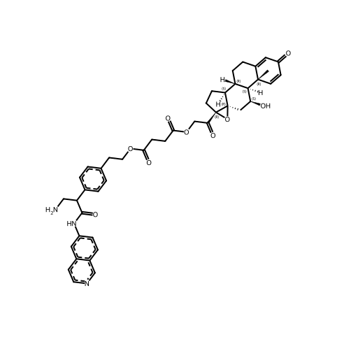 C[C@]12C=CC(=O)C=C1CC[C@@H]1[C@@H]2[C@@H](O)C[C@]23O[C@]2(C(=O)COC(=O)CCC(=O)OCCc2ccc(C(CN)C(=O)Nc4ccc5cnccc5c4)cc2)CC[C@@H]13